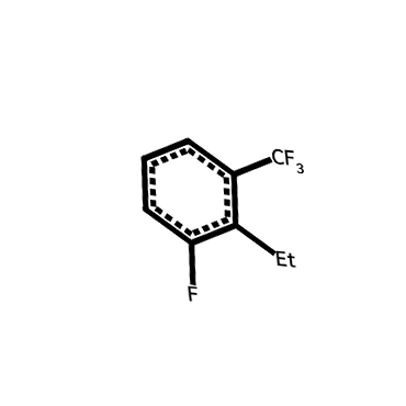 CCc1c(F)cccc1C(F)(F)F